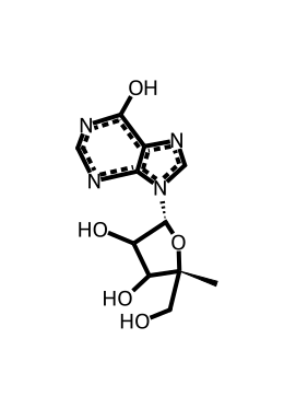 C[C@]1(CO)O[C@@H](n2cnc3c(O)ncnc32)C(O)C1O